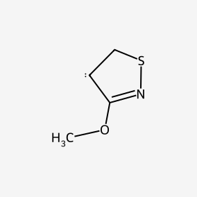 COC1=NSC[C]1